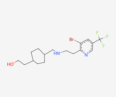 OCCC1CCC(CNCCc2ncc(C(F)(F)F)cc2Br)CC1